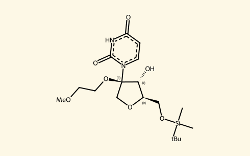 COCCO[C@]1(n2ccc(=O)[nH]c2=O)CO[C@H](CO[Si](C)(C)C(C)(C)C)[C@H]1O